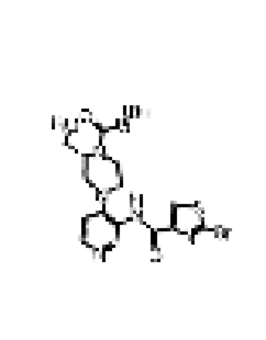 CC(C)(C)OC(=O)N1CCN(c2ccncc2NC(=O)c2csc(Br)n2)C[C@H]1CO